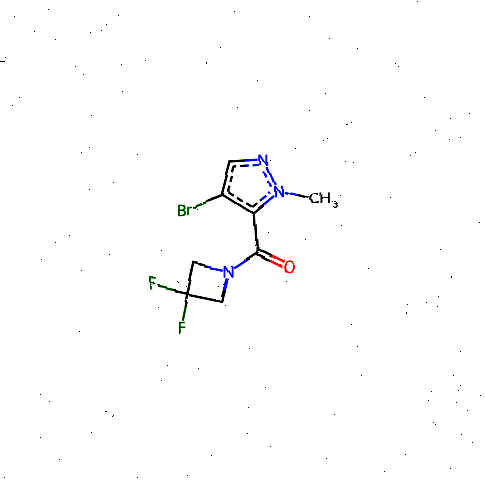 Cn1ncc(Br)c1C(=O)N1CC(F)(F)C1